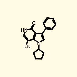 N#Cc1c[nH]c(=O)c2c(-c3ccccc3)cn(C3CCCC3)c12